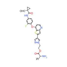 CC(C)C(N)C(=O)OCCn1cc(-c2cc3nccc(Oc4ccc(NC(=O)C5(C=O)CC5)cc4F)c3s2)cn1